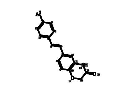 CC(=O)c1ccc(/C=C/c2ccc3c(c2)NC(=O)CO3)cc1